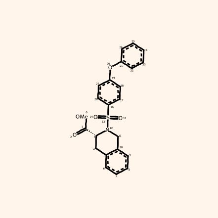 COC(=O)[C@H]1Cc2ccccc2CN1S(=O)(=O)c1ccc(Oc2ccccc2)cc1